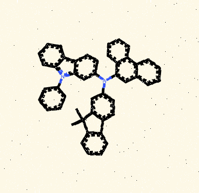 CC1(C)c2ccccc2-c2ccc(N(c3ccc4c5ccccc5n(-c5ccccc5)c4c3)c3cc4ccccc4c4ccccc34)cc21